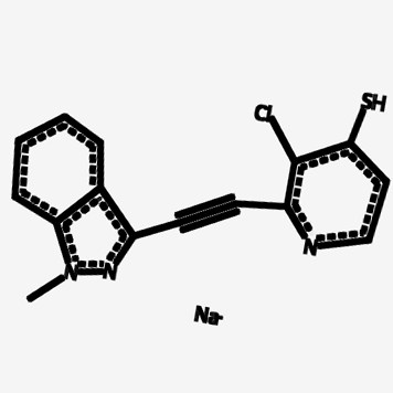 Cn1nc(C#Cc2nccc(S)c2Cl)c2ccccc21.[Na]